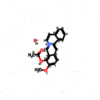 COc1ccc2cc3c4ccccc4cc[n+]3cc2c1OC(C)=O.[Br-]